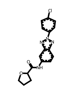 O=C(Nc1ccc2nn(-c3ccc(Cl)cc3)nc2c1)C1CCCO1